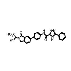 CC(C)C(C(=O)O)N1Cc2ccc(-c3ccc(NC(=O)c4nnc(-c5ccccc5)[nH]4)cc3)cc2C1=O